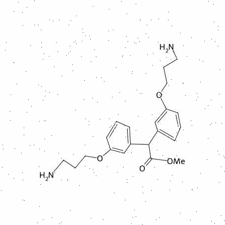 COC(=O)C(c1cccc(OCCCN)c1)c1cccc(OCCCN)c1